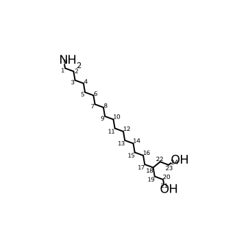 NCCCCCCCCCCCCCCCCCC(CCO)CCO